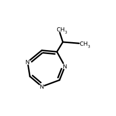 CC(C)C1=C=NC=NC=N1